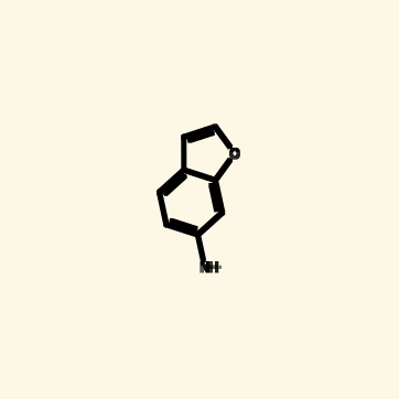 [NH]c1ccc2ccoc2c1